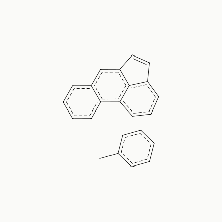 C1=Cc2cc3ccccc3c3cccc1c23.Cc1ccccc1